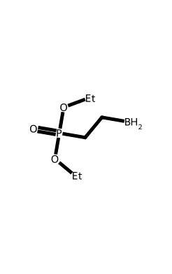 BCCP(=O)(OCC)OCC